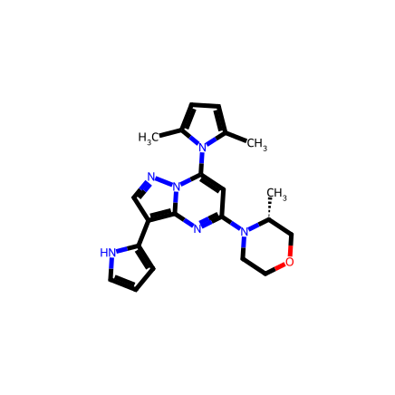 Cc1ccc(C)n1-c1cc(N2CCOC[C@H]2C)nc2c(-c3ccc[nH]3)cnn12